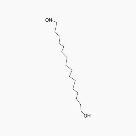 O=NCCCCCCCCCCCCCCCCO